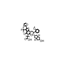 COc1ccccc1C(Cn1c(=O)n(C(C)(C)C(=O)O)c(=O)c2c(C(F)(F)F)c(-c3ncco3)sc21)O[C@H]1C[C@H]2C[C@@H](O)C[C@H]2C1